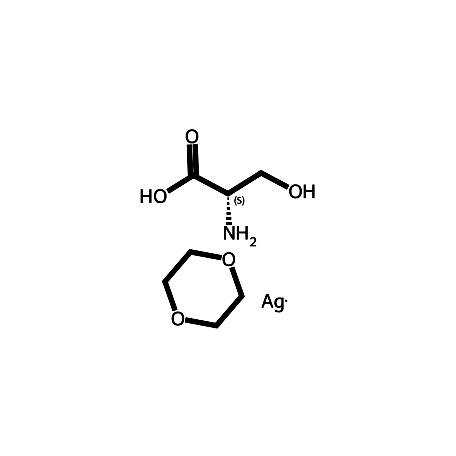 C1COCCO1.N[C@@H](CO)C(=O)O.[Ag]